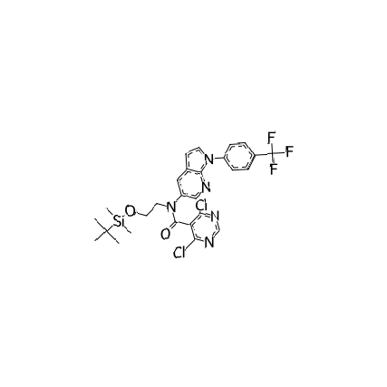 CC(C)(C)[Si](C)(C)OCCN(C(=O)c1c(Cl)ncnc1Cl)c1cnc2c(ccn2-c2ccc(C(F)(F)F)cc2)c1